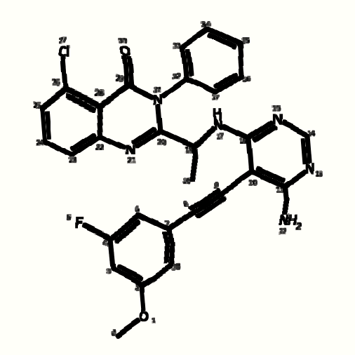 COc1cc(F)cc(C#Cc2c(N)ncnc2NC(C)c2nc3cccc(Cl)c3c(=O)n2-c2ccccc2)c1